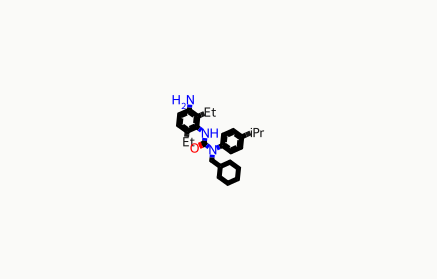 CCc1ccc(N)c(CC)c1NC(=O)N(CC1CCCCC1)c1ccc(C(C)C)cc1